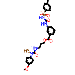 COc1ccc(N(S)C(=O)NCCCOC(=O)c2cccc(NC(=O)NS(=O)(=O)c3ccc(C)cc3)c2)cc1